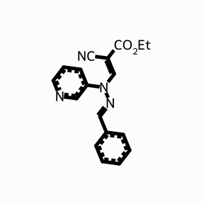 CCOC(=O)C(C#N)=CN(N=Cc1ccccc1)c1cccnc1